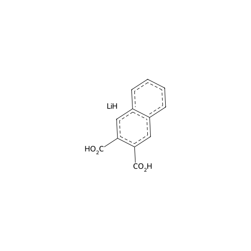 O=C(O)c1cc2ccccc2cc1C(=O)O.[LiH]